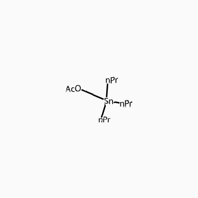 CC[CH2][Sn]([CH2]CC)([CH2]CC)[O]C(C)=O